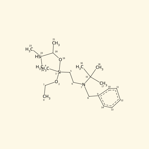 CCO[Si](C)(CCN(Cc1ccccc1)C(C)(C)C)OC(C)[SiH](C)C